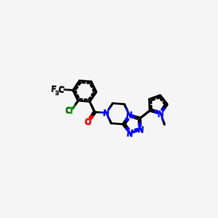 Cn1cccc1-c1nnc2n1CCN(C(=O)c1cccc(C(F)(F)F)c1Cl)C2